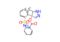 NS(=O)(=O)c1ccccc1C1(OC(=O)c2ccccc2)C=NNC1C(F)(F)F